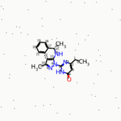 CCc1cc(=O)[nH]c(-n2nc(C)cc2N[C@@H](C)c2ccccc2)n1